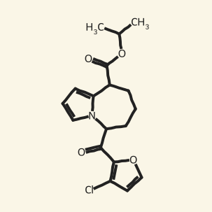 CC(C)OC(=O)C1CCCC(C(=O)c2occc2Cl)n2cccc21